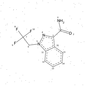 NC(=O)c1nn(CC(F)(F)F)c2ccccc12